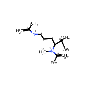 C=C(C)NCCCC(C(=C)C(C)C)N(C)C(=C)CC